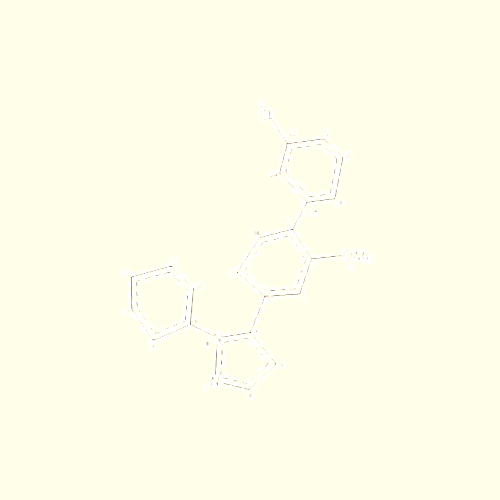 COc1cc(-c2ccnn2-c2ccccc2)ccc1-c1cccc(Cl)c1